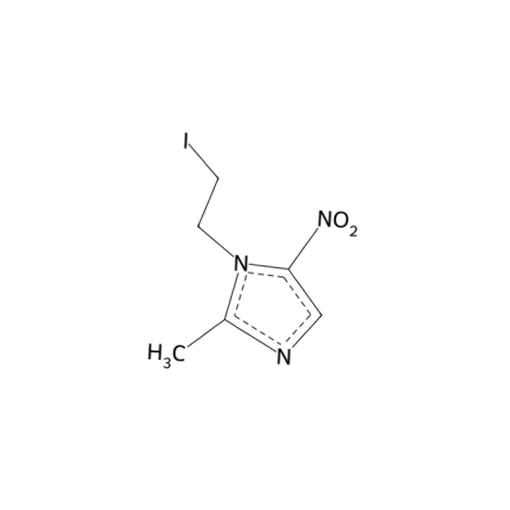 Cc1ncc([N+](=O)[O-])n1CCI